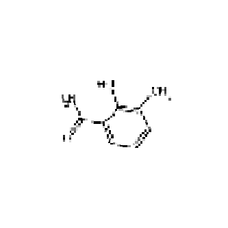 Cc1cccc(C(N)=O)c1O